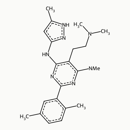 CNc1nc(-c2cc(C)ccc2C)nc(Nc2cc(C)[nH]n2)c1CCN(C)C